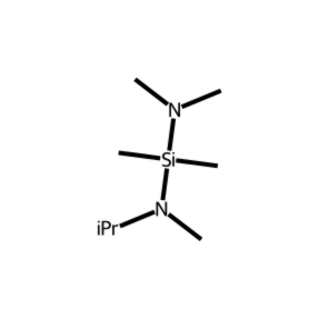 CC(C)N(C)[Si](C)(C)N(C)C